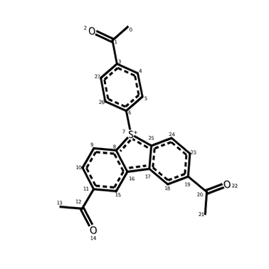 CC(=O)c1ccc(-[s+]2c3ccc(C(C)=O)cc3c3cc(C(C)=O)ccc32)cc1